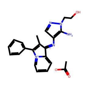 CC(=O)[O-].CC1=C(c2ccccc2)[n+]2ccccc2/C1=N/c1cnn(CCO)c1N